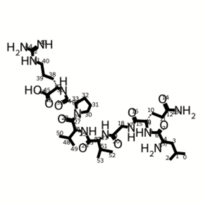 CC(C)C[C@H](N)C(=O)N[C@@H](CCC(N)=O)C(=O)NCC(=O)N[C@H](C(=O)N[C@H](C(=O)N1CCC[C@H]1C(=O)N[C@@H](CCCNC(=N)N)C(=O)O)C(C)C)C(C)C